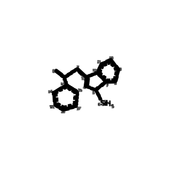 CC(CC1=CC([SiH3])c2ccccc21)c1ccccc1